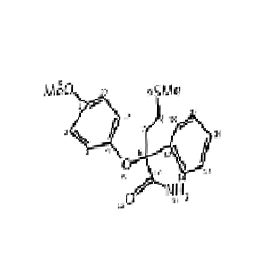 COc1ccc(OC(CCSC)(C(N)=O)c2ccccc2)cc1